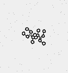 c1ccc(-c2cccc(N(c3cccc(-c4ccccc4)c3)c3cc(-c4ccccc4)c4ccc5c(N(c6cccc(-c7ccccc7)c6)c6cccc(-c7ccccc7)c6)cc(-c6ccccc6)c6ccc3c4c65)c2)cc1